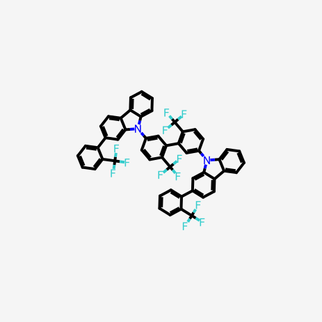 FC(F)(F)c1ccccc1-c1ccc2c3ccccc3n(-c3ccc(C(F)(F)F)c(-c4cc(-n5c6ccccc6c6ccc(-c7ccccc7C(F)(F)F)cc65)ccc4C(F)(F)F)c3)c2c1